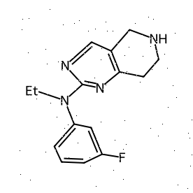 CCN(c1cccc(F)c1)c1ncc2c(n1)CCNC2